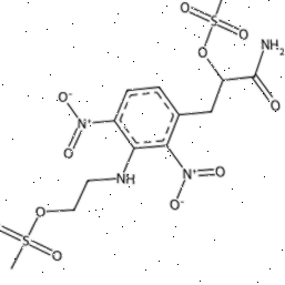 CS(=O)(=O)OCCNc1c([N+](=O)[O-])ccc(CC(OS(C)(=O)=O)C(N)=O)c1[N+](=O)[O-]